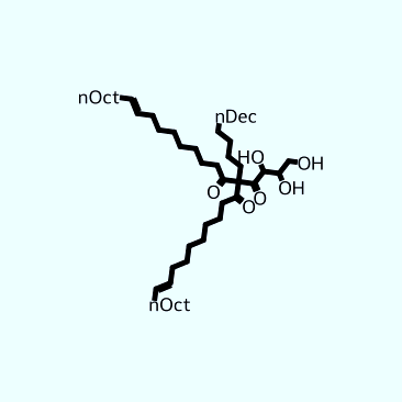 CCCCCCCCC=CCCCCCCCC(=O)C(CCCCCCCCCCCCCC)(C(=O)CCCCCCCC=CCCCCCCCC)C(=O)C(O)C(O)CO